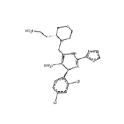 CCOC(=O)C1=C(CN2CCOC[C@H]2CCC(=O)O)NC(c2nccs2)=N[C@H]1c1ccc(Cl)cc1Cl